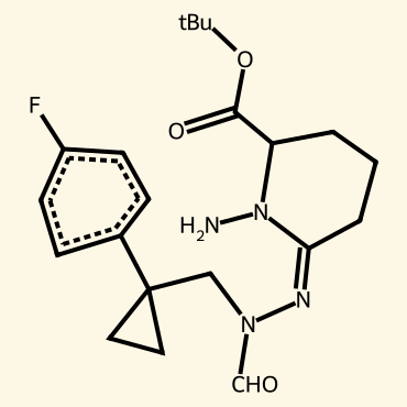 CC(C)(C)OC(=O)C1CCC/C(=N/N(C=O)CC2(c3ccc(F)cc3)CC2)N1N